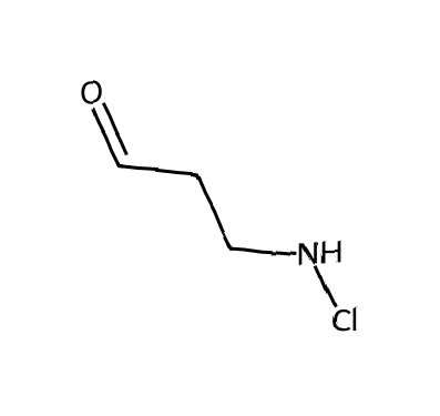 O=CCCNCl